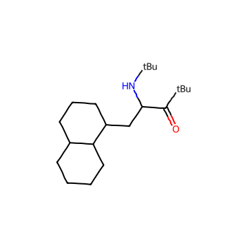 CC(C)(C)NC(CC1CCCC2CCCCC21)C(=O)C(C)(C)C